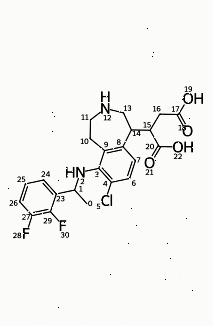 CC(Nc1c(Cl)ccc2c1CCNCC2C(CC(=O)O)C(=O)O)c1cccc(F)c1F